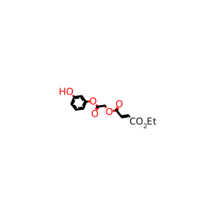 CCOC(=O)/C=C/C(=O)OCC(=O)Oc1cccc(O)c1